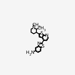 CC1C(c2cc3c(-c4nc5cc(N)ccc5s4)ccnc3s2)CCCN1C